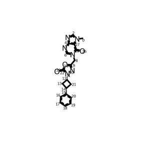 Cn1cnc2ncn(Cc3nn([C@H]4C[C@H](c5ccccc5)C4)c(=O)o3)c(=O)c21